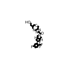 O=C(C1=NC2CC/C=C(CCO)\C=N/C2=N1)N1C[C@H]2C[C@@H](c3cc(F)ccc3C(F)(F)F)C[C@H]2C1